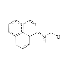 ClC[SiH]=C1C=Cc2cccc3c2C1C=CC3